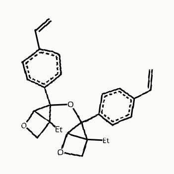 C=Cc1ccc(C2(OC3(c4ccc(C=C)cc4)C4OCC43CC)C3OCC32CC)cc1